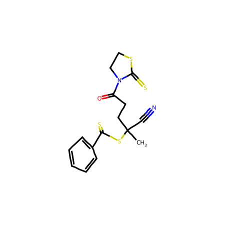 CC(C#N)(CCC(=O)N1CCSC1=S)SC(=S)c1ccccc1